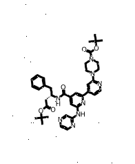 CC(C)(C)OC(=O)C[C@H](Cc1ccccc1)NC(=O)c1cc(Nc2cnccn2)nc(-c2ccnc(N3CCN(C(=O)OC(C)(C)C)CC3)c2)c1